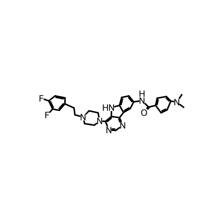 CN(C)c1ccc(C(=O)Nc2ccc3[nH]c4c(N5CCN(CCc6ccc(F)c(F)c6)CC5)ncnc4c3c2)cc1